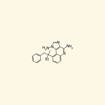 CCC(C)(Cc1ccccc1)c1cccc2nc(N)c3ncn(N)c3c12